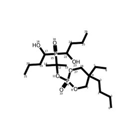 CCCCC1(CC)COP(=O)(OC(C)(C)P(=O)(C(O)CCC)C(O)CCC)OC1